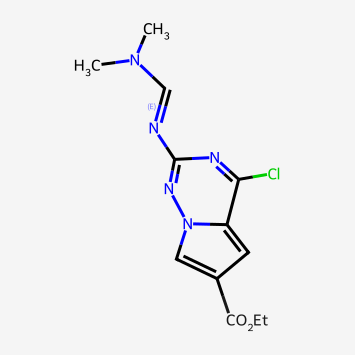 CCOC(=O)c1cc2c(Cl)nc(/N=C/N(C)C)nn2c1